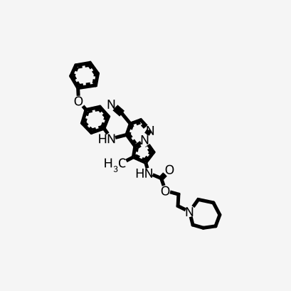 Cc1c(NC(=O)OCCN2CCCCCC2)cn2ncc(C#N)c(Nc3ccc(Oc4ccccc4)cc3)c12